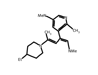 CCC1CCN(/C(C)=C/C(=C\NC)c2cc(NC)cnc2C)CC1